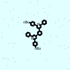 CCCCc1ccc(-c2cc(-c3cccc(-c4cc(-c5ccccc5)nc(-c5ccc(CCCC)cc5)c4)c3)cc(-c3ccccc3)n2)cc1